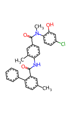 Cc1ccc(-c2ccccc2)c(C(=O)Nc2ccc(C(=O)N(C)c3ccc(Cl)cc3O)cc2C)c1